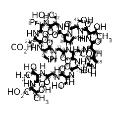 CC[C@H](C)[C@H](NC(=O)[C@H](CC(=O)O)NC(=O)CNC(=O)[C@H](CC(C)C)NC(=O)[C@H](CC(=O)O)NC(=O)[C@@H](NC(=O)[C@H](CC(=O)O)NC(=O)[C@@H]1CCCN1C(=O)[C@H](CO)NC(=O)[C@@H](NC(=O)[C@@H](N)Cc1c[nH]cn1)[C@@H](C)O)C(C)C)C(=O)N[C@@H](CO)C(=O)NCC(=O)N[C@H](C(=O)N[C@H](C(=O)O)[C@@H](C)O)[C@@H](C)O